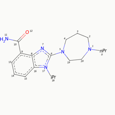 CCCN1CCCN(c2nc3c(C(N)=O)cccc3n2C(C)C)CC1